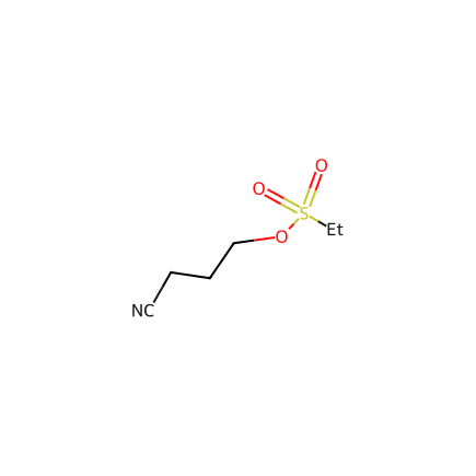 CCS(=O)(=O)OCCCC#N